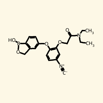 [C-]#[N+]c1ccc(Oc2ccc3c(c2)COB3O)c(OCC(=O)N(CC)CC)c1